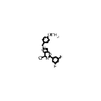 COc1ccc(Cn2cc3nc(-c4cc(F)cc(F)c4)nc(Cl)c3n2)cc1